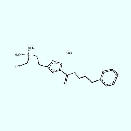 CC(N)(CO)CCc1cc(C(=O)CCCCc2ccccc2)cs1.Cl